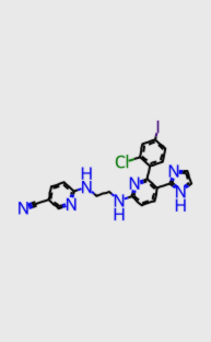 N#Cc1ccc(NCCNc2ccc(-c3ncc[nH]3)c(-c3ccc(I)cc3Cl)n2)nc1